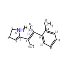 CC/C(C1=CCCN1)=C(/C)c1ccccc1C